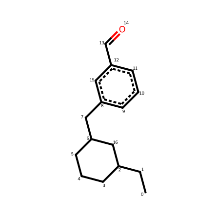 CCC1CCCC(Cc2cccc(C=O)c2)C1